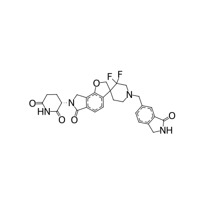 O=C1CC[C@H](N2Cc3c(ccc4c3OCC43CCN(Cc4ccc5c(c4)C(=O)NC5)CC3(F)F)C2=O)C(=O)N1